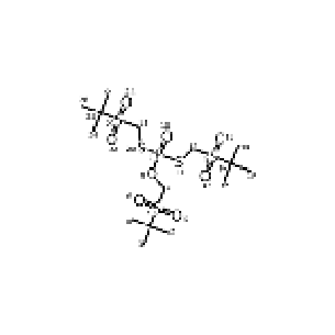 CC(C)(C)S(=O)(=O)COP(=O)(SCS(=O)(=O)C(C)(C)C)SCS(=O)(=O)C(C)(C)C